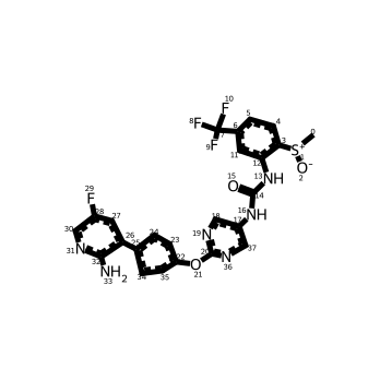 C[S+]([O-])c1ccc(C(F)(F)F)cc1NC(=O)Nc1cnc(Oc2ccc(-c3cc(F)cnc3N)cc2)nc1